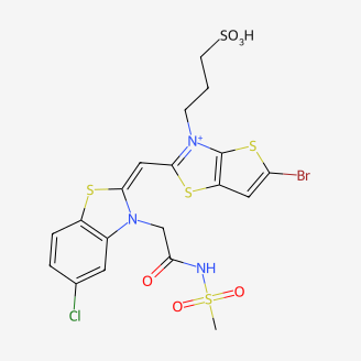 CS(=O)(=O)NC(=O)CN1C(=Cc2sc3cc(Br)sc3[n+]2CCCS(=O)(=O)O)Sc2ccc(Cl)cc21